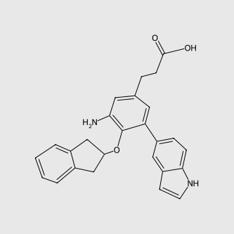 Nc1cc(CCC(=O)O)cc(-c2ccc3[nH]ccc3c2)c1OC1Cc2ccccc2C1